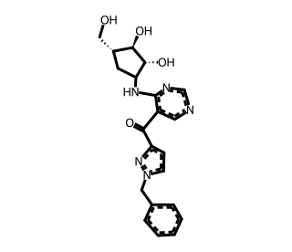 O=C(c1ccn(Cc2ccccc2)n1)c1cncnc1NC1C[C@H](CO)[C@@H](O)[C@@H]1O